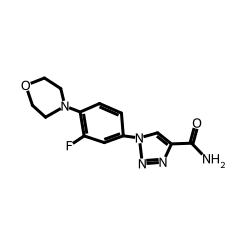 NC(=O)c1cn(-c2ccc(N3CCOCC3)c(F)c2)nn1